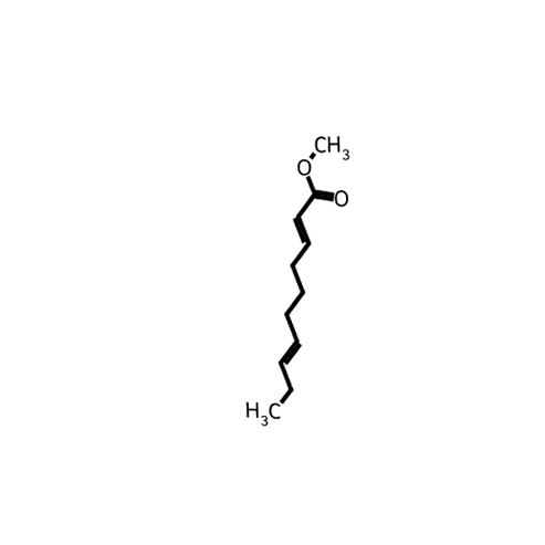 CC/C=C/CCC/C=C/C(=O)OC